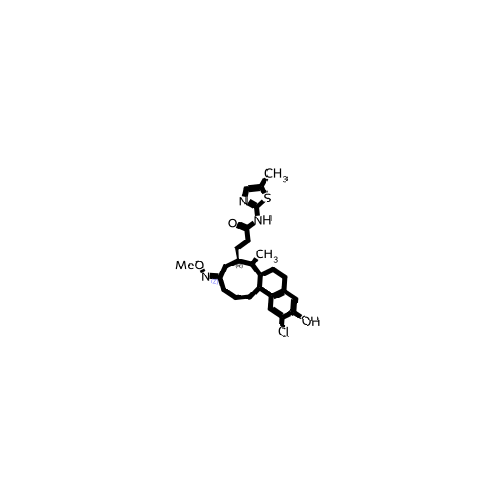 CO/N=C1/CCCC2c3cc(Cl)c(O)cc3CCC2C(C)[C@H](CCC(=O)Nc2ncc(C)s2)C1